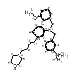 COc1cccc(CN(Cc2cccc(N(C)C)c2)c2cccc(COCCN3CCOCC3)c2)c1